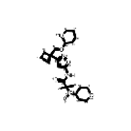 CC(C)(C(=O)Nc1cc(C2(COC3CCCCO3)CCC2)no1)[S+]([O-])C1CCOCC1